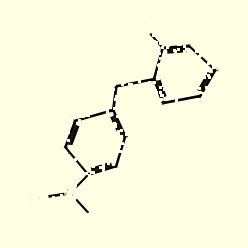 CN(C)c1ccc(Cc2ccccc2F)cc1